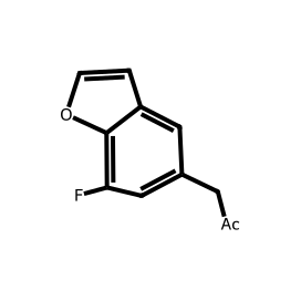 CC(=O)Cc1cc(F)c2occc2c1